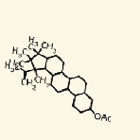 C=C(C)C1(C)C2C3CCC4C5CCC(OC(C)=O)CC5CCC4C3CCC2C(C)(C)C1(C)C